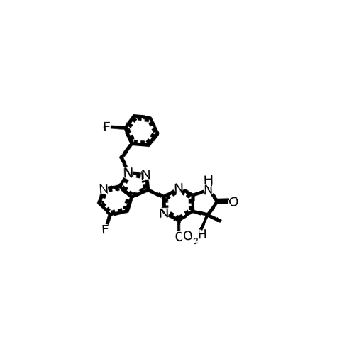 CC1(C)C(=O)Nc2nc(-c3nn(Cc4ccccc4F)c4ncc(F)cc34)nc(C(=O)O)c21